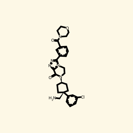 NC[C@]1(c2cccc(Cl)c2)CC[C@H](N2CCn3c(nnc3-c3cccc(C(=O)N4CCOCC4)c3)C2=O)CC1